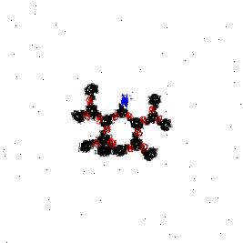 [N-]=[N+]=NCc1cc(OCc2cc(OCc3cc(OCc4ccccc4)cc(OCc4ccccc4)c3)cc(OCc3cc(OCc4ccccc4)cc(OCc4ccccc4)c3)c2)cc(OCc2cc(OCc3cc(OCc4ccccc4)cc(OCc4ccccc4)c3)cc(OCc3cc(OCc4ccccc4)cc(OCc4ccccc4)c3)c2)c1